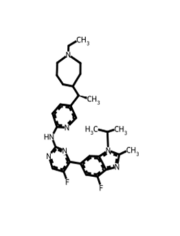 CCN1CCCC([C@@H](C)c2ccc(Nc3ncc(F)c(-c4cc(F)c5nc(C)n(C(C)C)c5c4)n3)nc2)CC1